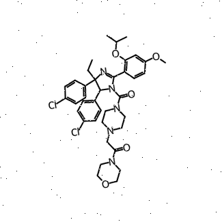 CCC1(c2ccc(Cl)cc2)N=C(c2ccc(OC)cc2OC(C)C)N(C(=O)N2CCN(CC(=O)N3CCOCC3)CC2)C1c1ccc(Cl)cc1